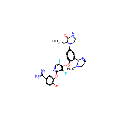 CN1CC=NC1c1cc(N2CCNC(=O)C2CC(=O)O)ccc1Oc1c(F)cnc(Oc2cc(C(=N)N)ccc2O)c1F